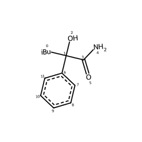 CCC(C)C(O)(C(N)=O)c1ccccc1